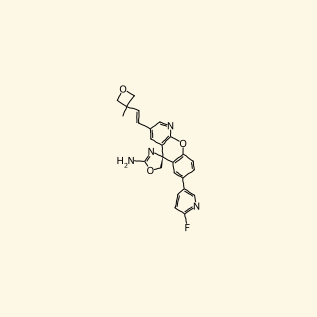 CC1(/C=C/c2cnc3c(c2)[C@]2(COC(N)=N2)c2cc(-c4ccc(F)nc4)ccc2O3)COC1